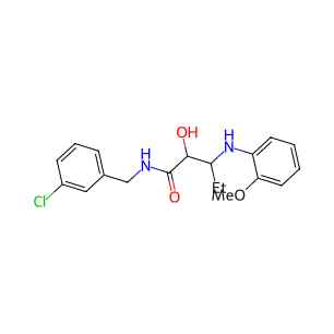 CCC(Nc1ccccc1OC)C(O)C(=O)NCc1cccc(Cl)c1